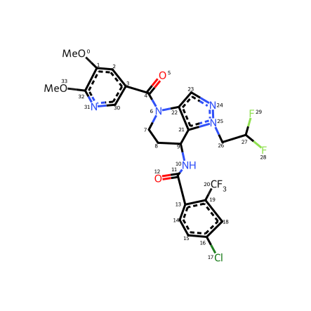 COc1cc(C(=O)N2CCC(NC(=O)c3ccc(Cl)cc3C(F)(F)F)c3c2cnn3CC(F)F)cnc1OC